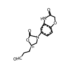 O=CCC[C@@H]1CN(c2ccc3c(c2)NC(=O)CO3)C(=O)O1